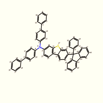 c1ccc(-c2ccc(N(c3ccc(-c4ccccc4)cc3)c3ccc4c(c3)sc3cc(C5(c6ccccc6)c6ccccc6-c6ccccc65)ccc34)cc2)cc1